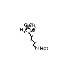 CCCCCCCCCCCC[N+](=O)[N+](C)(C)[O-]